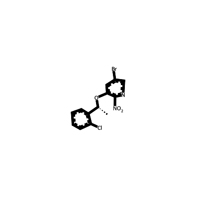 C[C@@H](Oc1cc(Br)cnc1[N+](=O)[O-])c1ccccc1Cl